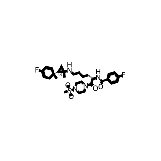 CC1([C@@H]2CC2(C)NCCCC[C@H](NC(=O)c2ccc(F)cc2)C(=O)N2CCN(S(C)(=O)=O)CC2)C=CC(F)=CC1